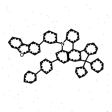 c1ccc(-c2ccc(-c3cccc(N(c4cccc(-c5ccc6oc7ccccc7c6c5)c4)c4ccccc4-c4cccc5c4-c4ccccc4C5(c4ccccc4)c4ccccc4)c3)cc2)cc1